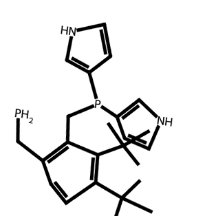 CC(C)(C)c1ccc(CP)c(CP(c2cc[nH]c2)c2cc[nH]c2)c1C(C)(C)C